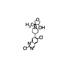 C[C@@]1(N2CCC(c3cc4nc(Cl)ncc4cc3Cl)CC2)COCC1O